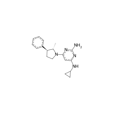 C[C@H]1[C@H](c2ccccc2)CCN1c1cc(NC2CC2)nc(N)n1